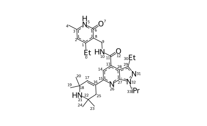 CCc1cc(C)[nH]c(=O)c1CNC(=O)c1cc(C2=CC(C)(C)NC(C)(C)C2)nc2c1c(CC)nn2C(C)C